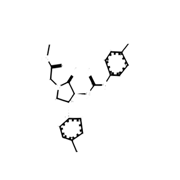 CNC(=O)CN1C[C@@H](c2ccc(C)cc2)[C@H](NC(=O)Nc2ccc(F)cc2)C1=O